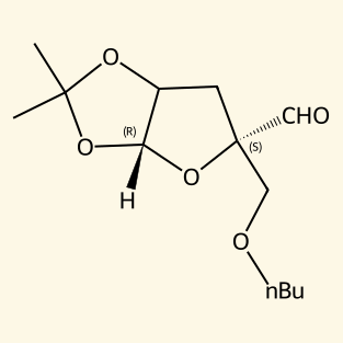 CCCCOC[C@]1(C=O)CC2OC(C)(C)O[C@H]2O1